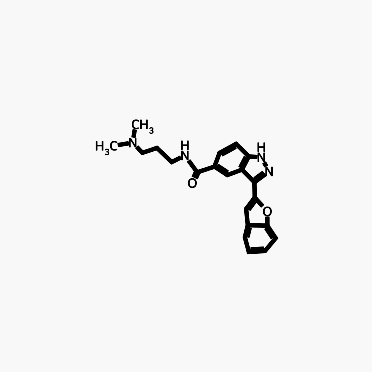 CN(C)CCCNC(=O)c1ccc2[nH]nc(-c3cc4ccccc4o3)c2c1